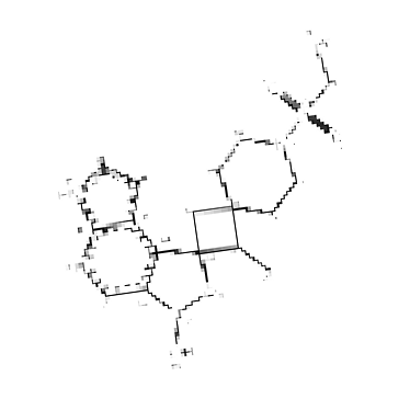 CC(C)CS(=O)(=O)N1CCC2(CC1)CC1(OB(O)c3cnc4[nH]ccc4c31)C2C